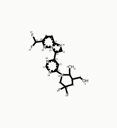 CC1C(CO)CC(F)(F)CN1c1cc(-c2cnc3ccc(C(F)F)nn23)ncn1